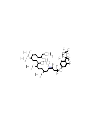 CCC(C)CCC(C)C(C)CCC(C)C(C)CCC(C)C/C=C(/F)CC(F)(F)Oc1cc(F)c(C(F)(F)OC(F)(F)F)c(F)c1